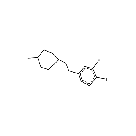 CC1CCC(CCc2ccc(F)c(F)c2)CC1